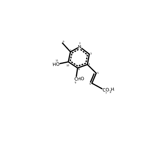 Cc1ncc(/C=C/C(=O)O)c(C=O)c1O